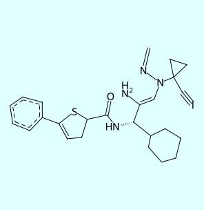 C=NN(/C=C(\N)[C@@H](NC(=O)C1CC=C(c2ccccc2)S1)C1CCCCC1)C1(C#I)CC1